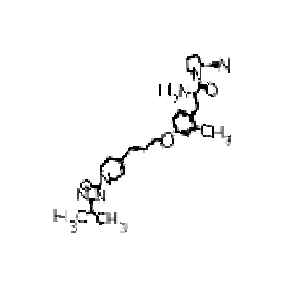 Cc1cc(OCCCC2CCN(c3nc(C(C)C)no3)CC2)ccc1C[C@H](N)C(=O)N1CCC[C@H]1C#N